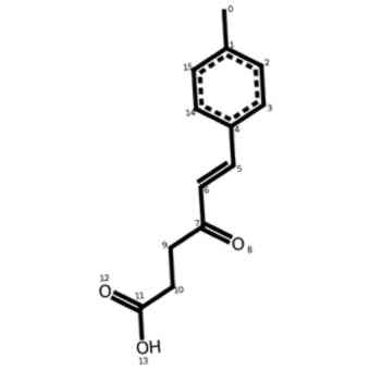 Cc1ccc(C=CC(=O)CCC(=O)O)cc1